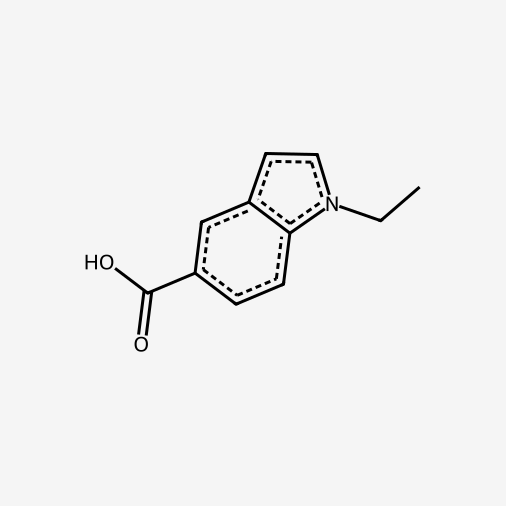 CCn1ccc2cc(C(=O)O)ccc21